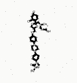 CCC(C)n1ncn(-c2ccc(N3CCN(c4ccc(OCC5COC(CN(C)/C=N\C=N)(c6ccc(Cl)cc6Cl)O5)cc4)CC3)cc2)c1=O